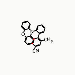 Cc1cc(C#N)ccc1-c1ccccc1N1c2ccccc2Oc2ccccc21